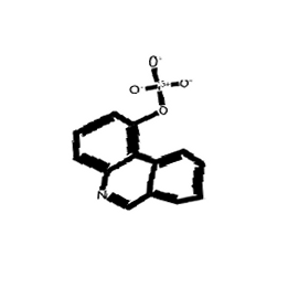 [O-][I+3]([O-])([O-])Oc1cccc2ncc3ccccc3c12